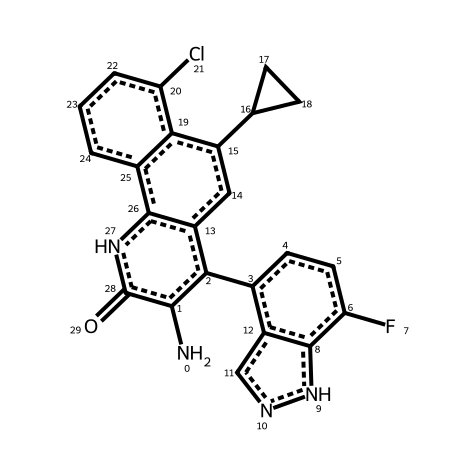 Nc1c(-c2ccc(F)c3[nH]ncc23)c2cc(C3CC3)c3c(Cl)cccc3c2[nH]c1=O